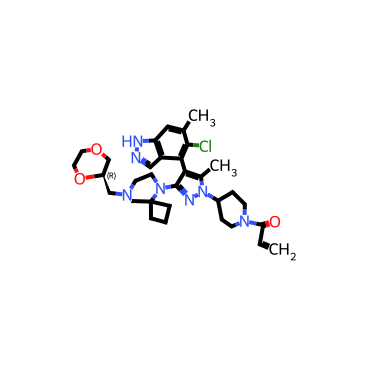 C=CC(=O)N1CCC(n2nc(N3CCN(C[C@@H]4COCCO4)CC34CCC4)c(-c3c(Cl)c(C)cc4[nH]ncc34)c2C)CC1